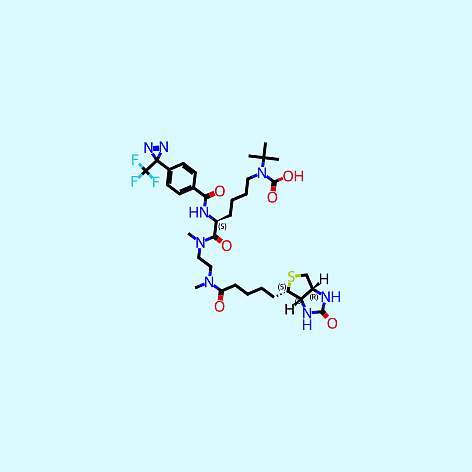 CN(CCN(C)C(=O)[C@H](CCCCN(C(=O)O)C(C)(C)C)NC(=O)c1ccc(C2(C(F)(F)F)N=N2)cc1)C(=O)CCCC[C@@H]1SC[C@@H]2NC(=O)N[C@@H]21